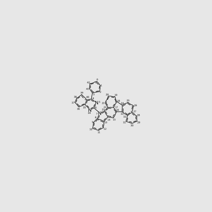 c1ccc(-c2nc(-n3c4ccccc4c4cc5c6c(cccc6c43)-c3ccc4ccccc4c3-5)nc3ccccc23)cc1